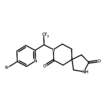 O=C1CC2(CCN(C(c3ccc(Br)cn3)C(F)(F)F)C(=O)C2)CN1